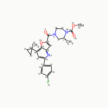 C[C@H]1CN(C(=O)c2cc3nc(-c4ccc(F)cc4)cc(C4(C)CC4)c3o2)CCN1C(=O)OC(C)(C)C